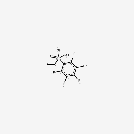 CCS(=O)(O)(O)c1c(F)c(F)c(F)c(F)c1F